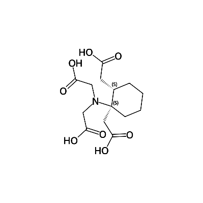 O=C(O)C[C@@H]1CCCC[C@@]1(CC(=O)O)N(CC(=O)O)CC(=O)O